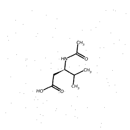 CC(=O)N[C@H](CC(=O)O)C(C)C